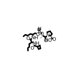 CCCCC(CO[PH](=O)O[C@@H](C)C(=O)N1CCC[C@H]1C(=O)O)NC(=O)C(CCCC)NC(=O)C1CCC1